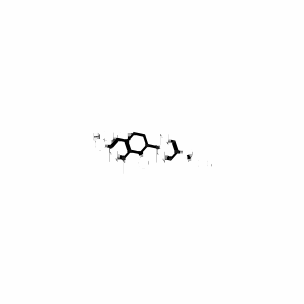 CCCCCCCCOc1cnc(C2CCc3cc(OCCCCCCCC)nc(F)c3C2=O)nc1